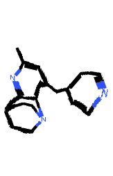 Cc1cc(-c2ccncc2)c2c(n1)C1CCN2CC1